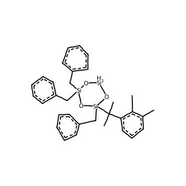 Cc1cccc(C(C)(C)[Si]2(Cc3ccccc3)O[SiH2]O[Si](Cc3ccccc3)(Cc3ccccc3)O2)c1C